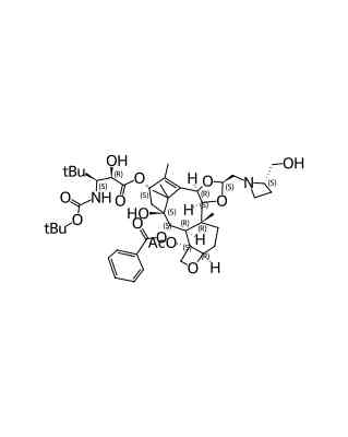 CC(=O)O[C@@]12CO[C@@H]1CC[C@@]1(C)[C@@H]3O[C@H](CN4CC[C@H]4CO)O[C@@H]3C3=C(C)[C@@H](OC(=O)[C@H](O)[C@@H](NC(=O)OC(C)(C)C)C(C)(C)C)C[C@@](O)([C@@H](OC(=O)c4ccccc4)[C@@H]12)C3(C)C